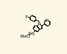 COOSc1ccc2c(c1)cc(-c1cccnc1)n2Cc1ccc(F)cc1